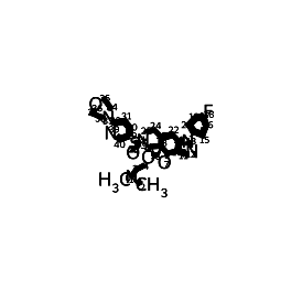 CN(C)CCOC(=O)[C@]12Cc3cnn(-c4ccc(F)cc4)c3C=C1CCN([S+]([O-])c1ccc(N3CCOCC3)nc1)C2